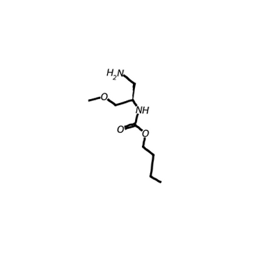 CCCCOC(=O)N[C@H](CN)COC